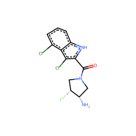 N[C@H]1CN(C(=O)c2[nH]c3cccc(Cl)c3c2Cl)C[C@H]1F